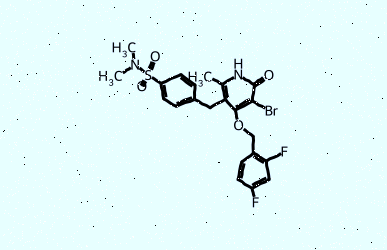 Cc1[nH]c(=O)c(Br)c(OCc2ccc(F)cc2F)c1Cc1ccc(S(=O)(=O)N(C)C)cc1